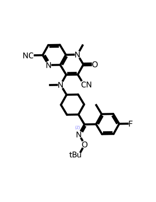 Cc1cc(F)ccc1/C(=N\OC(C)(C)C)C1CCC(N(C)c2c(C#N)c(=O)n(C)c3ccc(C#N)nc23)CC1